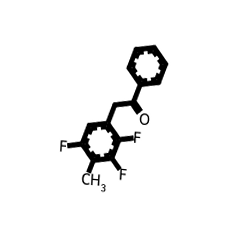 Cc1c(F)cc(CC(=O)c2ccccc2)c(F)c1F